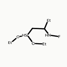 CCO[SiH](CC(CC)NF)OCC